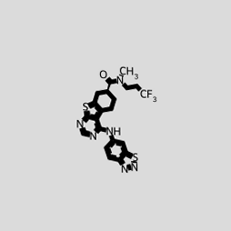 CN(CCC(F)(F)F)C(=O)[C@H]1CCc2c(sc3ncnc(Nc4ccc5nnsc5c4)c23)C1